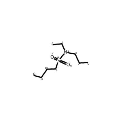 [CH2]CN(CCC)S(=O)(=O)CCCC